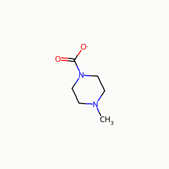 CN1CCN(C([O])=O)CC1